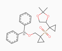 CC1(C)OCC(C2(S(=O)(=O)C3(CO[SiH](c4ccccc4)c4ccccc4)CC3)CC2)O1